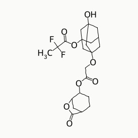 CC(F)(F)C(=O)OC12CC3CC(O)(CC(OCC(=O)OC4CCC5CC4OC5=O)(C3)C1)C2